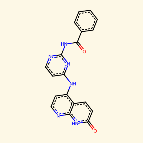 O=C(Nc1nccc(Nc2ccnc3[nH]c(=O)ccc23)n1)c1ccccc1